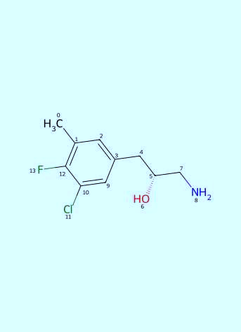 Cc1cc(C[C@@H](O)CN)cc(Cl)c1F